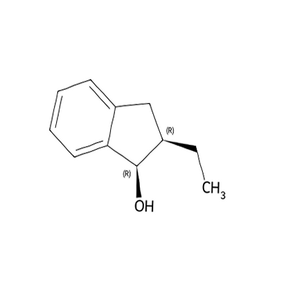 CC[C@@H]1Cc2ccccc2[C@@H]1O